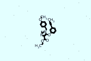 CC#Cc1cccc(Oc2c(C(=O)OCC)nnn2Cc2ccc(OC)cc2)c1